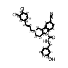 N#Cc1ccc2c(c1)c1c(n2C(=O)NCc2ccnc(O)c2)CCN(CC=Cc2ccc(Cl)c(Cl)c2)C1